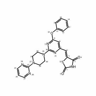 O=C1NC(=O)C(=Cc2cc(Oc3ccccc3)nc(N3CCN(c4ncccn4)CC3)n2)S1